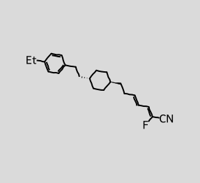 CCc1ccc(CC[C@H]2CC[C@H](CCC=CC=C(F)C#N)CC2)cc1